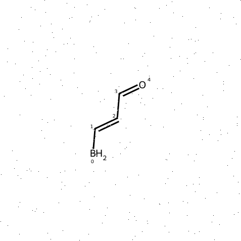 B/C=C/C=O